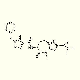 CN1C(=O)[C@@H](NC(=O)c2nnc(Cc3ccccc3)[nH]2)CCn2nc(C3CC3(F)F)cc21